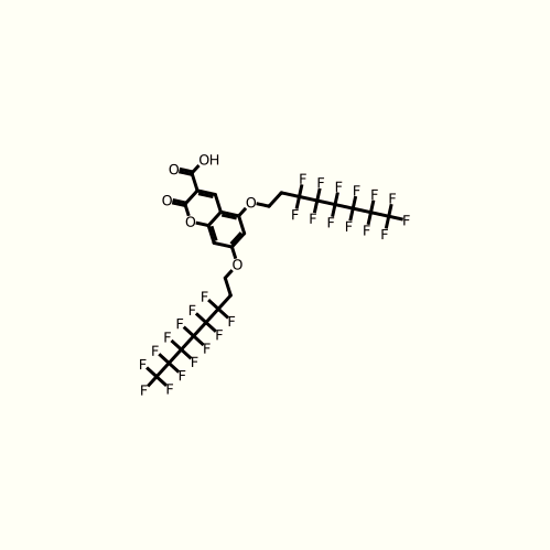 O=C(O)c1cc2c(OCCC(F)(F)C(F)(F)C(F)(F)C(F)(F)C(F)(F)C(F)(F)F)cc(OCCC(F)(F)C(F)(F)C(F)(F)C(F)(F)C(F)(F)C(F)(F)F)cc2oc1=O